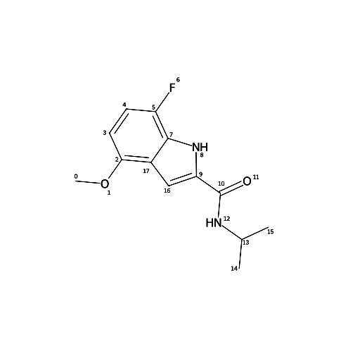 COc1ccc(F)c2[nH]c(C(=O)NC(C)C)cc12